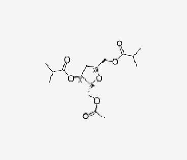 CC(=O)OC[C@H]1O[C@H](COC(=O)C(C)C)C[C@@H]1OC(=O)C(C)C